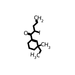 C=CCC(I)C(=O)C1=CC(C)(CC)CCC1